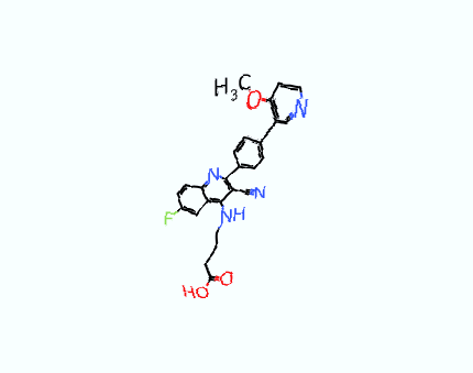 COc1ccncc1-c1ccc(-c2nc3ccc(F)cc3c(NCCCC(=O)O)c2C#N)cc1